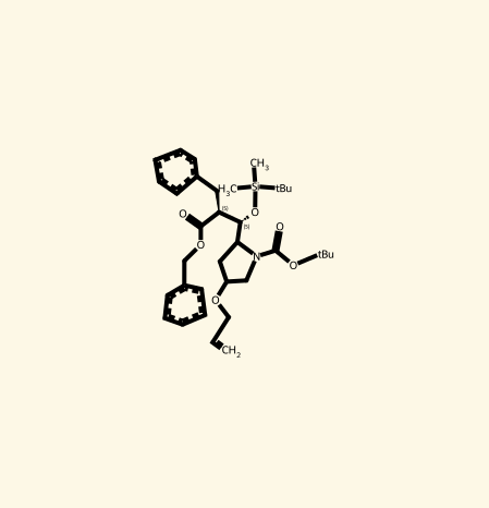 C=CCOC1CC([C@@H](O[Si](C)(C)C(C)(C)C)[C@H](Cc2ccccc2)C(=O)OCc2ccccc2)N(C(=O)OC(C)(C)C)C1